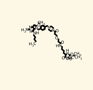 CCCCCNc1nc(N)nc2ccn(Cc3ccc(CN4CCN(C(=O)CCOCCC(=O)NCCCCC(NC(=O)OC(C)(C)C)C(=O)O)CC4)cc3OC)c12